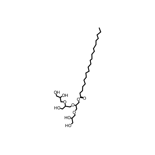 CCCCCCCCCCCCCCCCCCCCCC(=O)OCC(COCC(O)CO)OCC(CO)OCC(O)CO